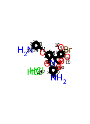 COC(=O)c1c(-c2cc(OC)c(Br)c(OC)c2)c2ccc(OCc3cccc(N)c3)cc2c(=O)n1-c1ccc(N)cc1.Cl.Cl